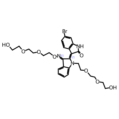 O=C1Nc2cc(Br)ccc2/C1=C1\C(=N\OCCOCCOCCO)c2ccccc2N1CCOCCOCCO